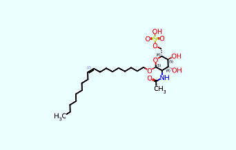 CCCCCCCC/C=C\CCCCCCCCO[C@H]1O[C@H](COS(=O)(=O)O)[C@@H](O)[C@H](O)C1NC(C)=O